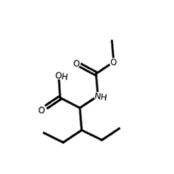 CCC(CC)C(NC(=O)OC)C(=O)O